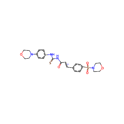 O=C(/C=C/c1ccc(S(=O)(=O)N2CCOCC2)cc1)NC(=S)Nc1ccc(N2CCOCC2)cc1